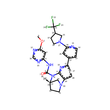 COc1cc(NC(=O)N2c3nc(-c4ccnc(N5CCC(C(F)(F)F)C5)c4)ccc3N3CC[C@H]2C3)ncn1